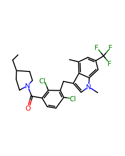 CCC1CCN(C(=O)c2ccc(Cl)c(Cc3cn(C)c4cc(C(F)(F)F)cc(C)c34)c2Cl)CC1